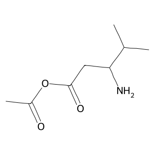 CC(=O)OC(=O)CC(N)C(C)C